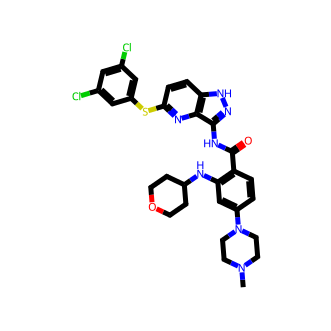 CN1CCN(c2ccc(C(=O)Nc3n[nH]c4ccc(Sc5cc(Cl)cc(Cl)c5)nc34)c(NC3CCOCC3)c2)CC1